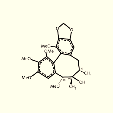 COc1cc2c(c(OC)c1OC)-c1c(cc3c(c1OC)OCO3)C[C@H](C)[C@](C)(O)[C@@H]2OC